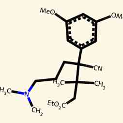 CCOC(=O)CC(C)(C)C(C#N)(CCCN(C)C)c1cc(OC)cc(OC)c1